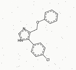 Clc1ccc(-c2[nH]cnc2COc2ccccc2)cc1